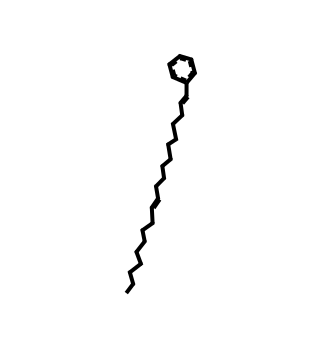 CCCCCCCCC=CCCCCCCCCC=Cc1ccccc1